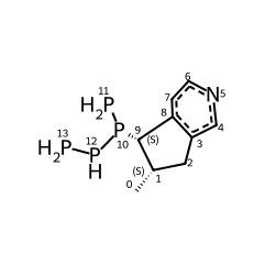 C[C@H]1Cc2cnccc2[C@H]1P(P)PP